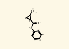 CC1CC1C(=O)Sc1ccccc1